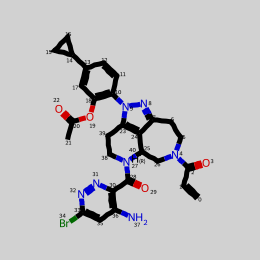 C=CC(=O)N1CCc2nn(-c3ccc(C4CC4)cc3OC(C)=O)c3c2[C@H](C1)N(C(=O)c1nnc(Br)cc1N)CC3